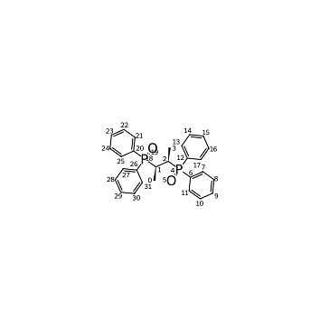 C[C@H]([C@@H](C)P(=O)(c1ccccc1)c1ccccc1)P(=O)(c1ccccc1)c1ccccc1